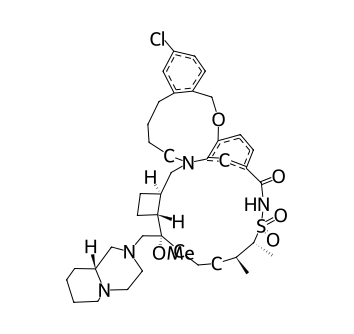 CO[C@@]1(CN2CCN3CCCC[C@@H]3C2)CCC[C@H](C)[C@@H](C)S(=O)(=O)NC(=O)c2ccc3c(c2)N(CCCCc2cc(Cl)ccc2CO3)C[C@@H]2CC[C@H]21